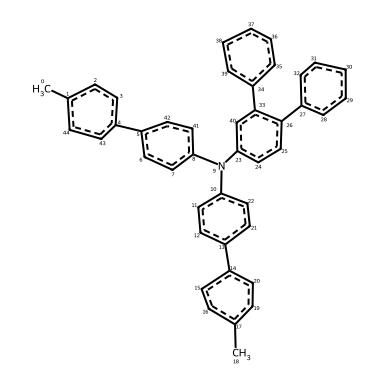 Cc1ccc(-c2ccc(N(c3ccc(-c4ccc(C)cc4)cc3)c3ccc(-c4ccccc4)c(-c4ccccc4)c3)cc2)cc1